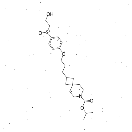 CC(C)OC(=O)N1CCC2(CC1)CC(CCCOc1ccc([S+]([O-])CCO)cc1)C2